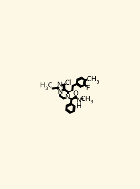 CCc1nc(Cl)c2n1CCN([C@@H](C(=O)NC)c1ccccc1)[C@@H]2CCc1ccc(C)c(F)c1